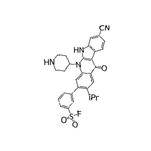 CC(C)c1cc2c(=O)c3c4ccc(C#N)cc4[nH]c3n(C3CCNCC3)c2cc1-c1cccc(S(=O)(=O)F)c1